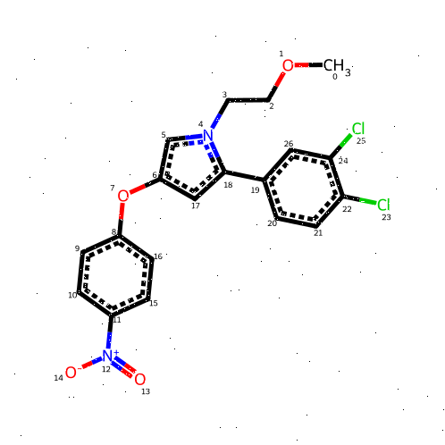 COCCn1cc(Oc2ccc([N+](=O)[O-])cc2)cc1-c1ccc(Cl)c(Cl)c1